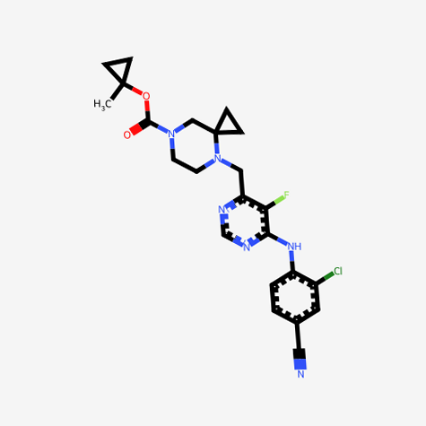 CC1(OC(=O)N2CCN(Cc3ncnc(Nc4ccc(C#N)cc4Cl)c3F)C3(CC3)C2)CC1